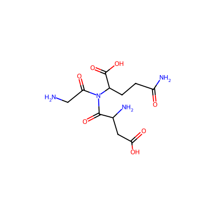 NCC(=O)N(C(=O)C(N)CC(=O)O)C(CCC(N)=O)C(=O)O